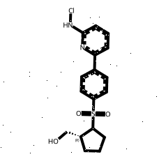 O=S(=O)(c1ccc(-c2cccc(NCl)n2)cc1)C1CCC[C@@H]1CO